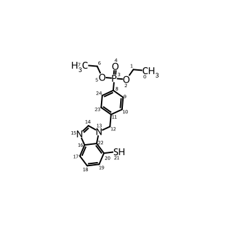 CCOP(=O)(OCC)c1ccc(Cn2cnc3cccc(S)c32)cc1